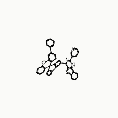 c1ccc(-c2ccc3c(c2)Oc2ccccc2C32c3ccccc3-c3cc(-c4nc(-c5cccnc5)nc5c4sc4ccccc45)ccc32)cc1